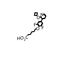 O=C(O)CCCCCOc1c(F)cc(-c2cccnc2OC2CCC2)cc1F